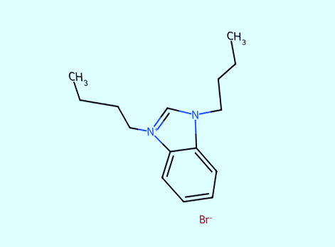 CCCCn1c[n+](CCCC)c2ccccc21.[Br-]